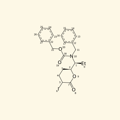 CC[C@@H]([C@@H]1CCC(I)C(=O)O1)N(Cc1ccccc1)C(=O)OCc1ccccc1